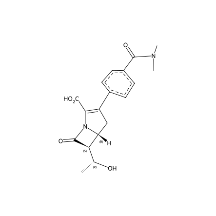 C[C@@H](O)[C@H]1C(=O)N2C(C(=O)O)=C(c3ccc(C(=O)N(C)C)cc3)C[C@H]12